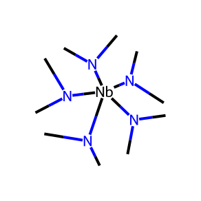 C[N](C)[Nb]([N](C)C)([N](C)C)([N](C)C)[N](C)C